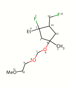 CCC1(F)CC(C)(OCOCCOC)CC1CF